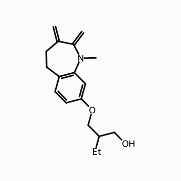 C=C1CCc2ccc(OCC(CC)CO)cc2N(C)C1=C